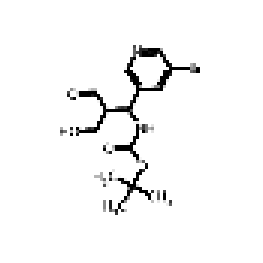 CC(C)(C)OC(=O)NC(c1cncc(Br)c1)C(C=O)CO